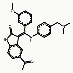 COc1cccc(C(Nc2ccc(CN(C)C)cc2)=C2C(=O)Nc3ccc(C(C)=O)cc32)c1